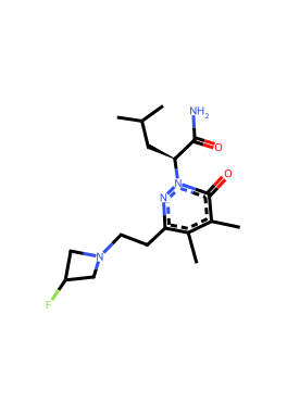 Cc1c(CCN2CC(F)C2)nn([C@@H](CC(C)C)C(N)=O)c(=O)c1C